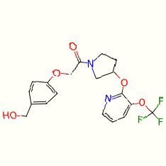 O=C(COc1ccc(CO)cc1)N1CCC(Oc2ncccc2OC(F)(F)F)C1